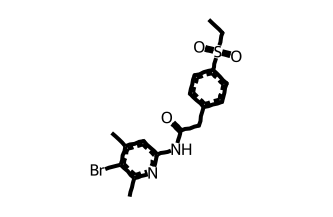 CCS(=O)(=O)c1ccc(CC(=O)Nc2cc(C)c(Br)c(C)n2)cc1